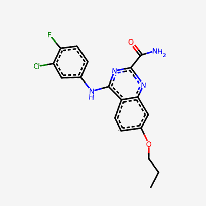 CCCOc1[c]cc2c(Nc3ccc(F)c(Cl)c3)nc(C(N)=O)nc2c1